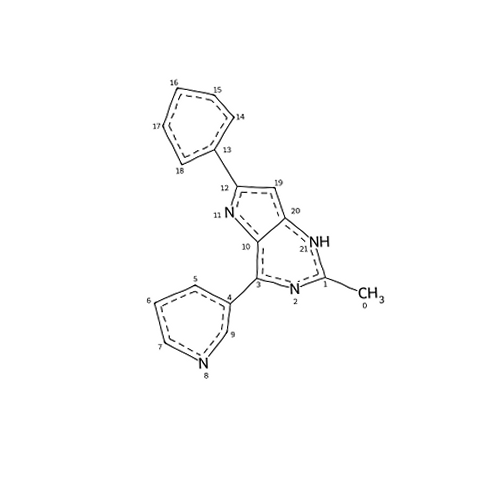 Cc1nc(-c2cccnc2)c2nc(-c3ccccc3)cc-2[nH]1